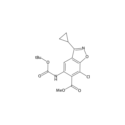 COC(=O)c1c(NC(=O)OC(C)(C)C)cc2c(C3CC3)noc2c1Cl